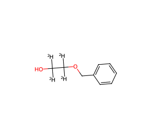 [2H]C([2H])(O)C([2H])([2H])OCc1ccccc1